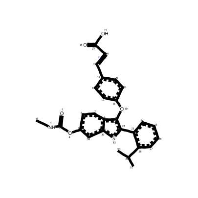 CNC(=O)Oc1ccc2c(Oc3ccc(/C=C/C(=O)O)cc3)c(-c3ccccc3C(C)C)sc2c1